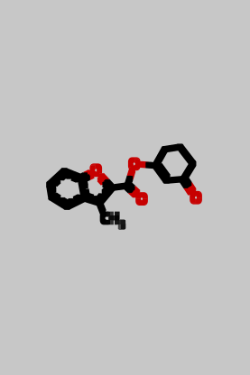 Cc1c(C(=O)OC2=CC(=O)CCC2)oc2ccccc12